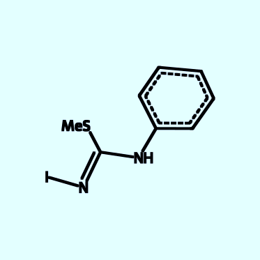 CS/C(=N\I)Nc1ccccc1